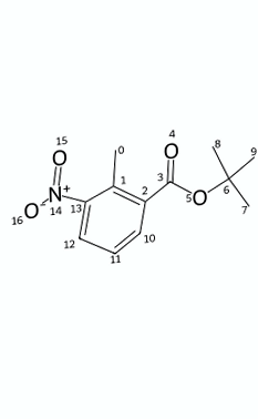 Cc1c(C(=O)OC(C)(C)C)cccc1[N+](=O)[O-]